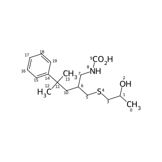 CC(O)CSCC(CNC(=O)O)CC(C)(C)c1ccccc1